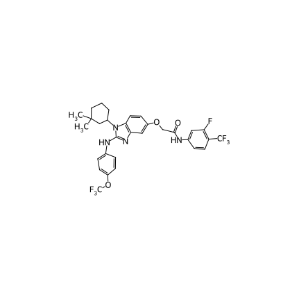 CC1(C)CCCC(n2c(Nc3ccc(OC(F)(F)F)cc3)nc3cc(OCC(=O)Nc4ccc(C(F)(F)F)c(F)c4)ccc32)C1